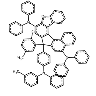 Cc1cccc(N(c2ccccc2)c2ccc(C3(c4cc(C)ccc4C)c4cc(N(c5ccccc5)c5ccccc5)c5ccccc5c4-c4c3cc(N(c3ccccc3)c3ccccc3)c3oc5ccccc5c43)cc2)c1